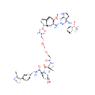 CNC(=O)c1c(F)cccc1Nc1nc(Nc2cc3c(cc2OC)CCN3C(=O)CN(C)C(=O)CCOCCOCCC(=O)NC(C(=O)N2C[C@H](O)C[C@H]2C(=O)NCc2ccc(-c3scnc3C)cc2)C(C)(C)C)nc2[nH]ccc12